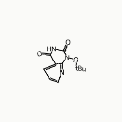 CC(C)(C)On1c(=O)[nH]c(=O)c2cccnc21